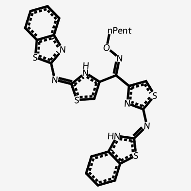 CCCCCO/N=C(/c1csc(/N=c2\[nH]c3ccccc3s2)n1)c1cs/c(=N/c2nc3ccccc3s2)[nH]1